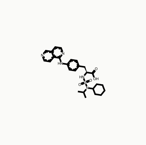 CC(C)N(C1CCCCC1)S(=O)(=O)N[C@@H](Cc1ccc(Nc2nccc3cnccc23)cc1)C(=O)O